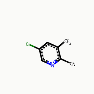 N#Cc1ncc(Cl)cc1C(F)(F)F